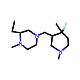 CCC1CN(CC2CN(C)CCC2(C)F)CCN1C